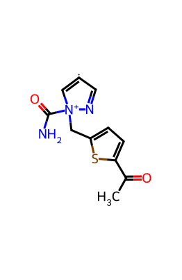 CC(=O)c1ccc(C[N+]2(C(N)=O)C=[C]C=N2)s1